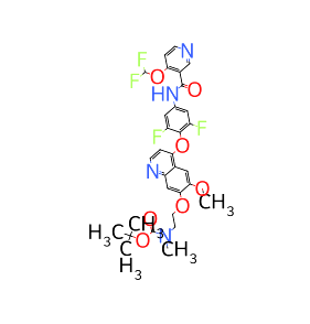 COc1cc2c(Oc3c(F)cc(NC(=O)c4cnccc4OC(F)F)cc3F)ccnc2cc1OCCN(C)C(=O)OC(C)(C)C